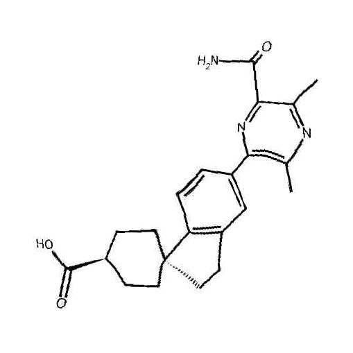 Cc1nc(C)c(-c2ccc3c(c2)CC[C@]32CC[C@H](C(=O)O)CC2)nc1C(N)=O